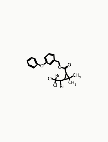 CC1(C)C(C(=O)OCc2cccc(Oc3ccccc3)c2)C1C(Br)C(Cl)(Cl)Br